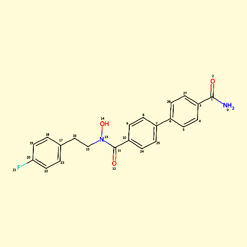 NC(=O)c1ccc(-c2ccc(C(=O)N(O)CCc3ccc(F)cc3)cc2)cc1